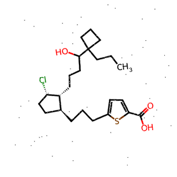 CCCC1(C(O)CCC[C@@H]2[C@@H](CCCc3ccc(C(=O)O)s3)CC[C@@H]2Cl)CCC1